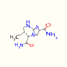 CC1CNc2nc(C(N)=O)cn2C1C(N)=O